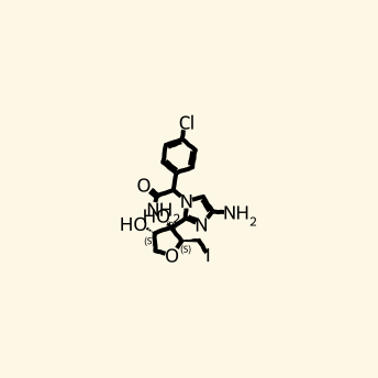 NC(=O)C(c1ccc(Cl)cc1)n1cc(N)nc1[C@@]1(O)[C@@H](O)CO[C@@H]1CI